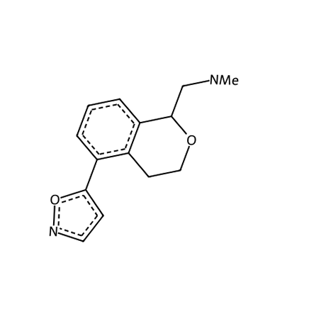 CNCC1OCCc2c(-c3ccno3)cccc21